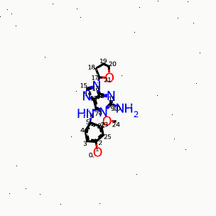 COc1ccc(Nc2nc(N)nc3c2ncn3C2CCCO2)c(OC)c1